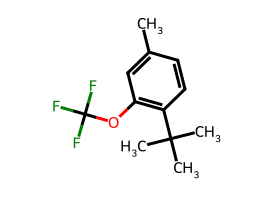 Cc1ccc(C(C)(C)C)c(OC(F)(F)F)c1